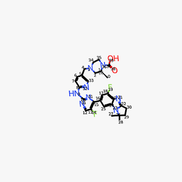 C[C@H]1CN(Cc2ccc(Nc3ncc(F)c(-c4cc(F)c5nc6n(c5c4)C(C)(C)CC6)n3)nc2)CCN1C(=O)O